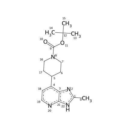 Cc1nc2c(C3CCN(C(=O)OC(C)(C)C)CC3)ccnc2[nH]1